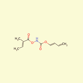 C=CC=COC(=O)NOC(=O)C(C)=CC